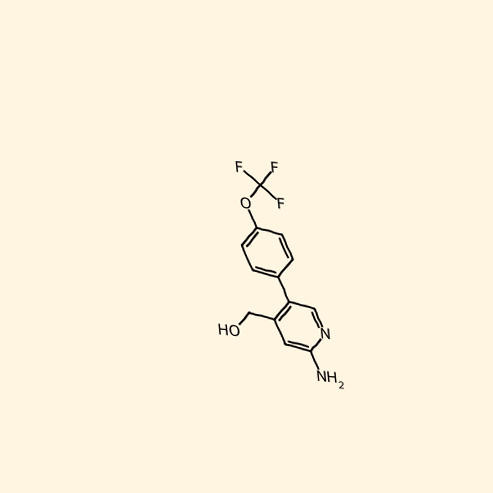 Nc1cc(CO)c(-c2ccc(OC(F)(F)F)cc2)cn1